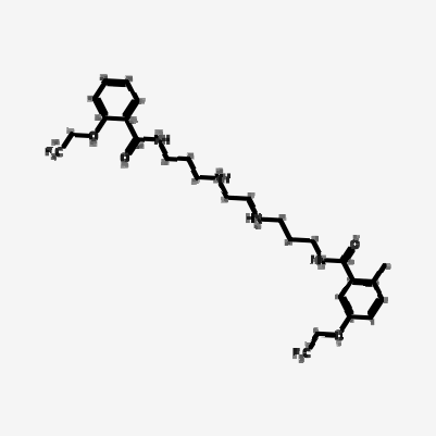 Cc1ccc(OCC(F)(F)F)cc1C(=O)NCCCNCCNCCCNC(=O)c1ccccc1OCC(F)(F)F